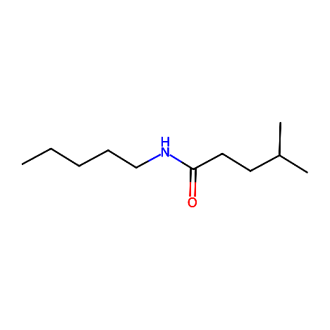 CCCCCNC(=O)CCC(C)C